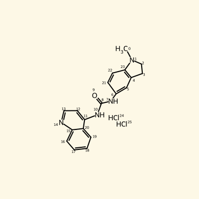 CN1CCc2cc(NC(=O)Nc3ccnc4ccccc34)ccc21.Cl.Cl